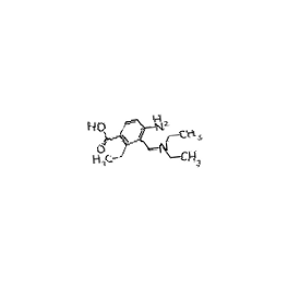 CCc1c(C(=O)O)ccc(N)c1CN(CC)CC